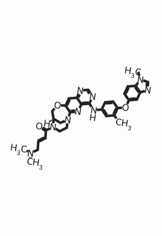 Cc1cc(Nc2ncnc3cc4c(nc23)N2CCN(C(=O)/C=C/CN(C)C)[C@@H](CO4)C2)ccc1Oc1ccc2c(c1)ncn2C